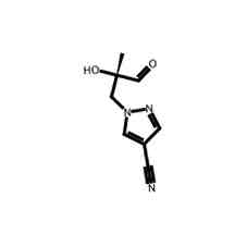 C[C@@](O)(C=O)Cn1cc(C#N)cn1